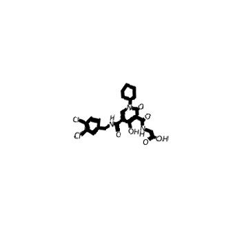 O=C(O)CNC(=O)c1c(O)c(C(=O)NCc2ccc(Cl)c(Cl)c2)cn(C2CCCCC2)c1=O